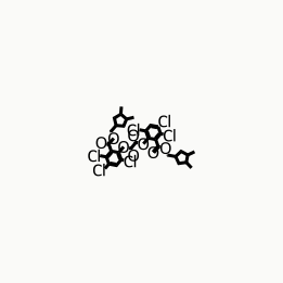 CC1CC(COC(=O)c2c(Cl)c(Cl)cc(Cl)c2OC(=O)C(=O)Oc2c(Cl)cc(Cl)c(Cl)c2C(=O)OCC2CC(C)C(C)C2)CC1C